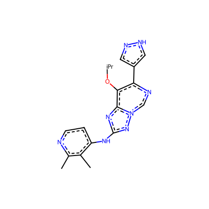 Cc1nccc(Nc2nc3c(OC(C)C)c(-c4cn[nH]c4)ncn3n2)c1C